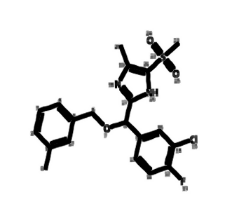 Cc1cccc(COC(c2ccc(F)c(Cl)c2)c2nc(C)c(S(C)(=O)=O)[nH]2)c1